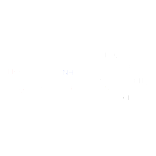 CC(C)c1cc(C=CC(=O)Nc2ccc(C(=O)O)cc2)sc1C(C)C